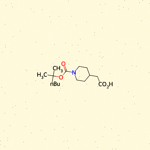 CCCCC(C)(C)OC(=O)N1CCC(CC(=O)O)CC1